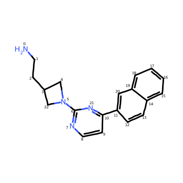 NCCC1CN(c2nccc(-c3ccc4ccccc4c3)n2)C1